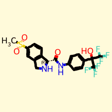 CS(=O)(=O)c1ccc2c(c1)CN[C@H]2C(=O)Nc1ccc(C(O)(C(F)(F)F)C(F)(F)F)cc1